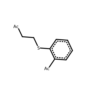 CC(=O)CCSc1ccccc1C(C)=O